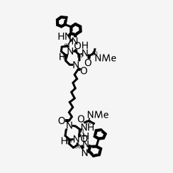 CN[C@@H](C)C(=O)N[C@H]1CN(C(=O)CCCCCCCCCCC(=O)N2CC[C@H]3CC[C@@H](c4nc5cccc(-c6ccccc6)c5[nH]4)N3C(=O)[C@@H](NC(=O)[C@H](C)NC)C2)CC[C@H]2CC[C@@H](c3nc4cccc(-c5ccccc5)c4[nH]3)N2C1=O